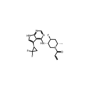 C=CC(=O)N1C[C@H](Nc2ncnc3[nH]cc([C@H]4CC4(F)F)c23)[C@@H](F)C[C@@H]1C